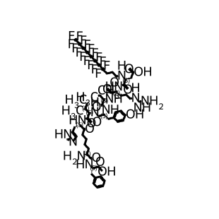 CC[C@H](C)[C@H](NC(=O)[C@H](Cc1ccc(O)cc1)NC(=O)[C@@H](NC(=O)[C@H](CCCNC(=N)N)NC(=O)[C@H](CC(=O)O)NC(=O)CCC(F)(F)C(F)(F)C(F)(F)C(F)(F)C(F)(F)C(F)(F)C(F)(F)C(F)(F)F)C(C)C)C(=O)N[C@@H](Cc1cnc[nH]1)C(=O)CCCC[C@H](N)C(=O)N[C@@H](Cc1ccccc1)C(=O)O